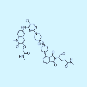 CNC(=O)CCC(C=O)N1C(=O)c2cccc(N3CCN(CC4(O)CCN(c5ncc(Cl)c(Nc6ccc7c(c6)cc(OCC(=O)NC)c(=O)n7C)n5)CC4)CC3)c2C1=O